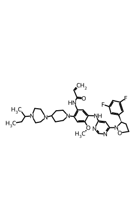 C=CC(=O)Nc1cc(Nc2cc(N3OCC[C@@H]3c3cc(F)cc(F)c3)ncn2)c(OC)cc1N1CCC(N2CCN(C(C)CC)CC2)CC1